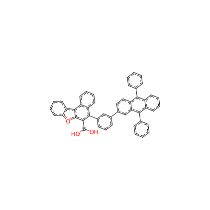 OB(O)c1c(-c2cccc(-c3ccc4c(-c5ccccc5)c5ccccc5c(-c5ccccc5)c4c3)c2)c2ccccc2c2c1oc1ccccc12